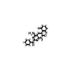 Cn1c(=O)c(-c2c(F)cccc2F)cc2c(N)nc(Nc3ccccc3)nc21